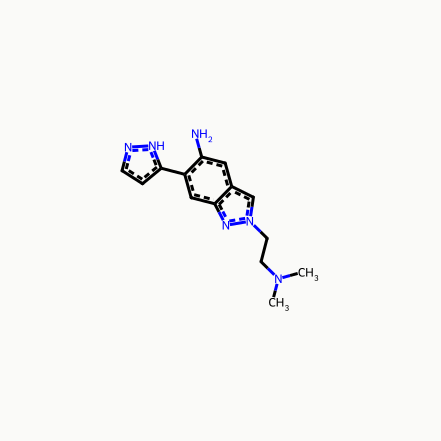 CN(C)CCn1cc2cc(N)c(-c3ccn[nH]3)cc2n1